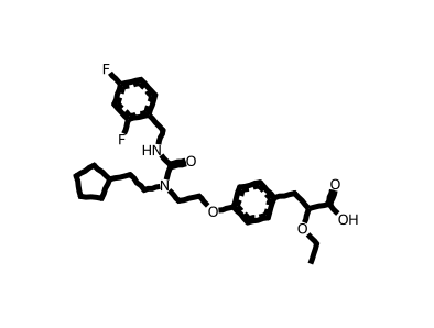 CCOC(Cc1ccc(OCCN(CCC2CCCC2)C(=O)NCc2ccc(F)cc2F)cc1)C(=O)O